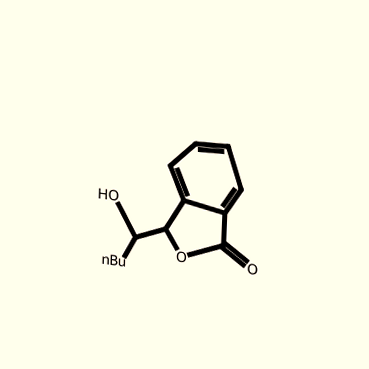 CCCCC(O)C1OC(=O)c2ccccc21